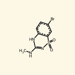 CNC1=NS(=O)(=O)c2cc(Br)ccc2N1